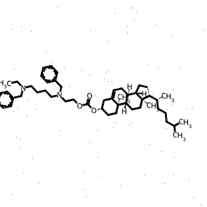 CCN(CCCCN(CCOC(=O)O[C@H]1CC[C@@]2(C)C(=CC[C@H]3[C@@H]4CC[C@H]([C@H](C)CCCC(C)C)[C@@]4(C)CC[C@@H]32)C1)Cc1ccccc1)Cc1ccccc1